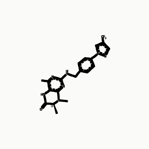 Cc1nc(NCc2ccc(-n3cc(C(F)(F)F)cn3)cc2)nc2c1NC(=O)[C@H](C)N2C